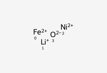 [Fe+2].[Li+].[Ni+2].[O-2]